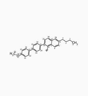 CCCCc1ccc2c(F)c(-c3ccc(-c4ccc(OC)cc4)cc3)ccc2c1